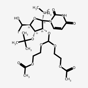 CC(=O)OCCOC(OCCOC(C)=O)O[C@@H]1[C@H](OC(C)(C)C)[C@@H](C(O)I)O[C@]1(n1ccc(=O)[nH]c1=O)[SiH](C)C